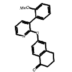 COc1ccccc1-c1cccnc1Oc1ccc2c(c1)CCCC2=O